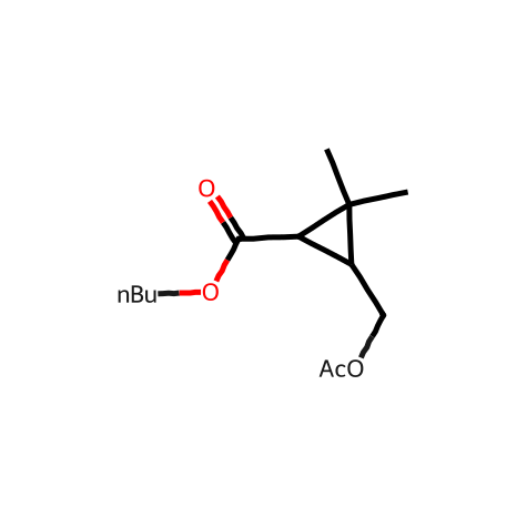 CCCCOC(=O)C1C(COC(C)=O)C1(C)C